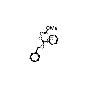 COC(=O)[C@@H]1CC=CCN1C(=O)OCc1ccccc1